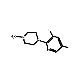 CN1CCN(c2ncc(F)cc2F)CC1